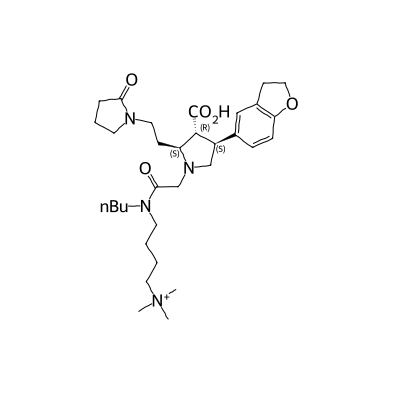 CCCCN(CCCC[N+](C)(C)C)C(=O)CN1C[C@H](c2ccc3c(c2)CCO3)[C@@H](C(=O)O)[C@@H]1CCN1CCCC1=O